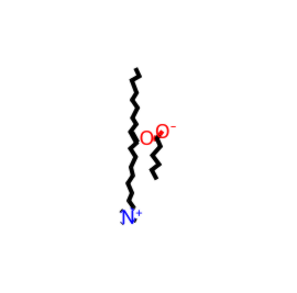 CCCCCC(=O)[O-].CCCCCCCCC=CCCCCCCCC[N+](C)(C)C